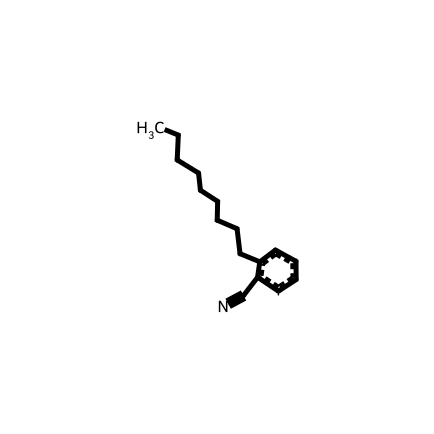 CCCCCCCCCc1ccc[c]c1C#N